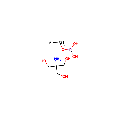 CCC[SiH2]OP(O)O.NC(CO)(CO)CO